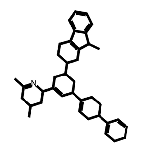 CC1=NC(C2=CC(C3=CCC(C4=CCCC=C4)CC3)CC(C3CCC4=C(C3)C(C)c3ccccc34)C2)CC(C)C1